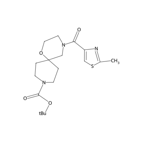 Cc1nc(C(=O)N2CCOC3(CCN(C(=O)OC(C)(C)C)CC3)C2)cs1